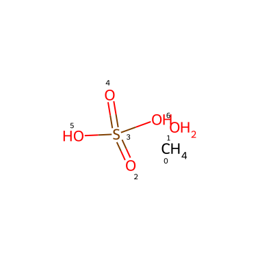 C.O.O=S(=O)(O)O